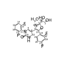 C[C@](O)(CO)c1nc(C2=CN(c3c(F)cccc3F)C(=O)NC2)c(-c2ccc(F)cc2F)o1